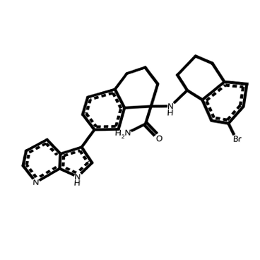 NC(=O)C1(NC2CCCc3ccc(Br)cc32)CCCc2ccc(-c3c[nH]c4ncccc34)cc21